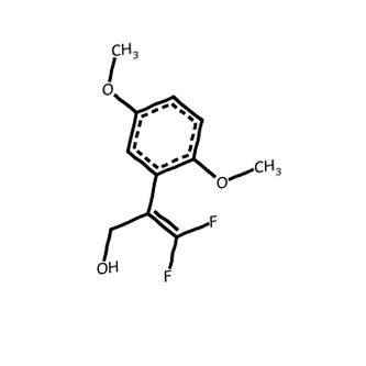 COc1ccc(OC)c(C(CO)=C(F)F)c1